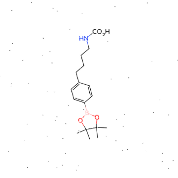 CC1(C)OB(c2ccc(CCCCNC(=O)O)cc2)OC1(C)C